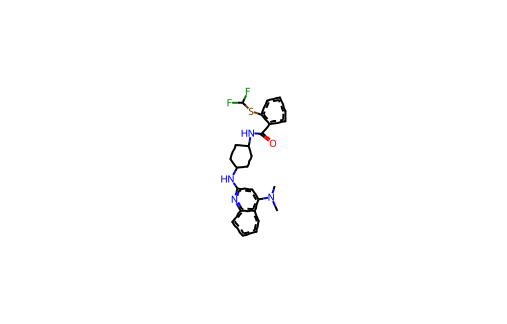 CN(C)c1cc(NC2CCC(NC(=O)c3ccccc3SC(F)F)CC2)nc2ccccc12